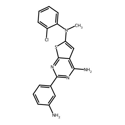 CN(c1cc2c(N)nc(-c3cccc(N)c3)nc2s1)c1ccccc1Cl